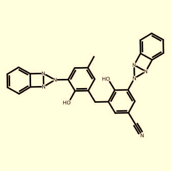 Cc1cc(Cc2cc(C#N)cc(-n3n4c5ccccc5n34)c2O)c(O)c(-n2n3c4ccccc4n23)c1